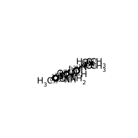 Cc1ccc(S(=O)(=O)N2C=C(I)/C(=C(/N)N3CCC(CNC(=O)OC(C)(C)C)CC3)C2=N)cc1